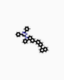 c1ccc(-c2cc(-n3c4ccccc4c4c5ccc(-c6ccc7ccc(-c8cccc9ccccc89)cc7c6)cc5ccc43)nc(-c3ccccc3)n2)cc1